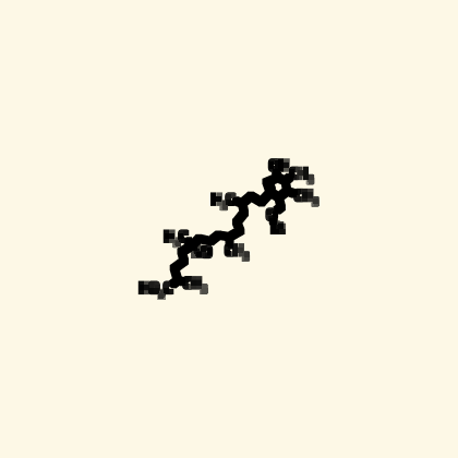 CCOCC1C(CCC(C)CCCC(C)CCCC(C)(CCCC(C)C(=O)O)N=O)=CC(O)C(C)C1C